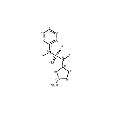 CN(c1ccccc1)S(=O)(=O)N(C)C1CCN(C#N)C1